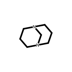 C1CN2CCCN(C1)C2